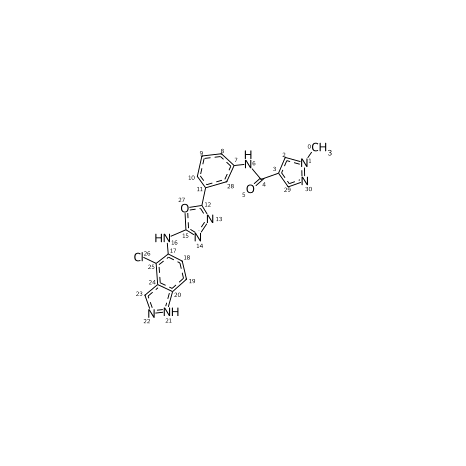 Cn1cc(C(=O)Nc2cccc(-c3nnc(Nc4ccc5[nH]ncc5c4Cl)o3)c2)cn1